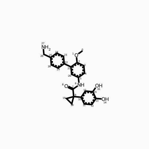 COc1ccc(NC(=O)C2(c3ccc(O)c(O)c3)CC2)cc1-c1ccc(CN)cc1